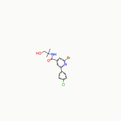 CC(C)(CO)NC(=O)c1cc(Br)nc(-c2ccc(Cl)cc2)c1